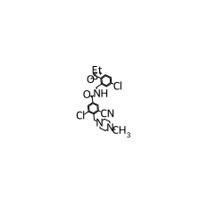 CC[S+]([O-])c1ccc(Cl)cc1CNC(=O)c1cc(Cl)c(CN2CCN(C)CC2)c(C#N)c1